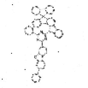 c1ccc(-c2ccc3c(c2)oc2cc(-c4nc(-c5ccccc5)nc(-n5c6ccccc6c6ccc7c(c65)-c5ccccc5C75c6ccccc6-c6ccccc65)n4)ccc23)cc1